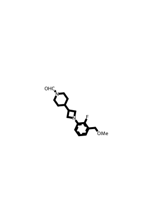 COCc1cccc(N2CC(C3CCN(C=O)CC3)C2)c1F